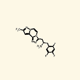 N[C@H](Cc1cc(F)c(F)cc1F)Cc1nnc2c3cc(C(F)(F)F)nn3ccn12